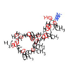 C=C1C[C@@H]2CC[C@]34C[C@@H](OC)C(O3)[C@H]3CC(O4)[C@H]4O[C@H](CC[C@@H]4O3)CC(=O)O[C@@H]3[C@@H](C)[C@@H]4O[C@@H]5C[C@]6(C[C@@H]7O[C@]8(C[C@H](C)[C@@H]9O[C@H](CN=[N+]=[N-])[C@H](O)C[C@@H]9O8)C[C@H](C)[C@@H]7O6)O[C@@H]5C[C@@H]4O[C@H]3C[C@H]3O[C@@H](CC[C@@H]1O2)C[C@@H](C)C3=C